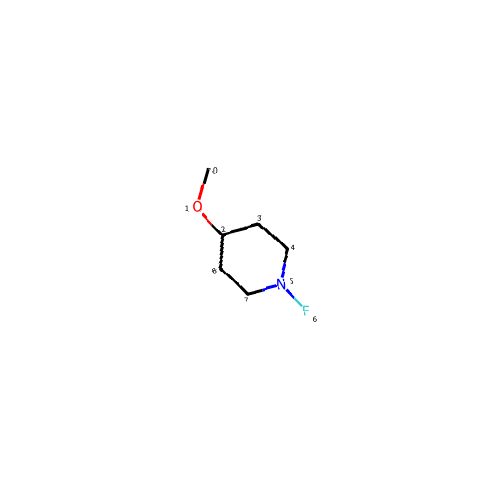 COC1CCN(F)CC1